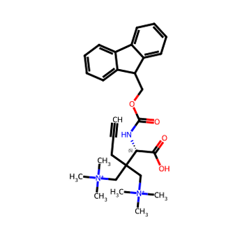 C#CCC(C[N+](C)(C)C)(C[N+](C)(C)C)[C@H](NC(=O)OCC1c2ccccc2-c2ccccc21)C(=O)O